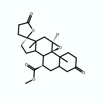 COC(=O)[C@@H]1CC2CC(=O)CCC2(C)[C@@]23O[C@@H]2CC2(C)C(CC[C@@]24CCC(=O)O4)C13